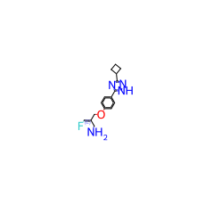 NC/C(=C\F)COc1ccc(-c2nc(C3CCC3)n[nH]2)cc1